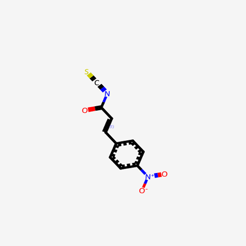 O=C(/C=C/c1ccc([N+](=O)[O-])cc1)N=C=S